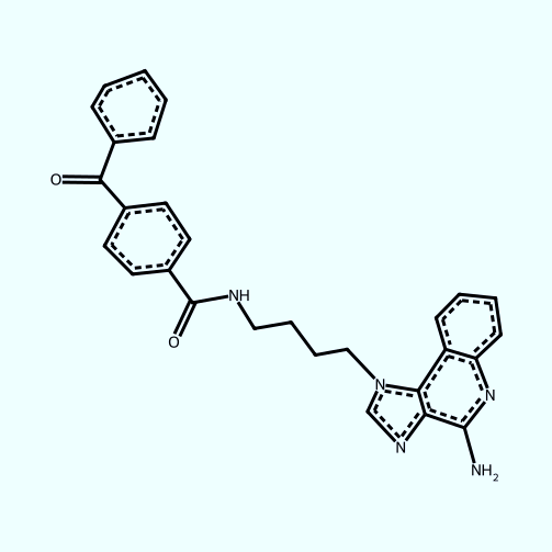 Nc1nc2ccccc2c2c1ncn2CCCCNC(=O)c1ccc(C(=O)c2ccccc2)cc1